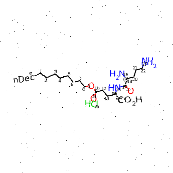 CCCCCCCCCCCCCCCCCCOC(=O)CC[C@H](NC(=O)[C@H](N)CCCN)C(=O)O.Cl